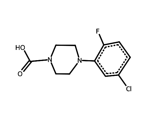 O=C(O)N1CCN(c2cc(Cl)ccc2F)CC1